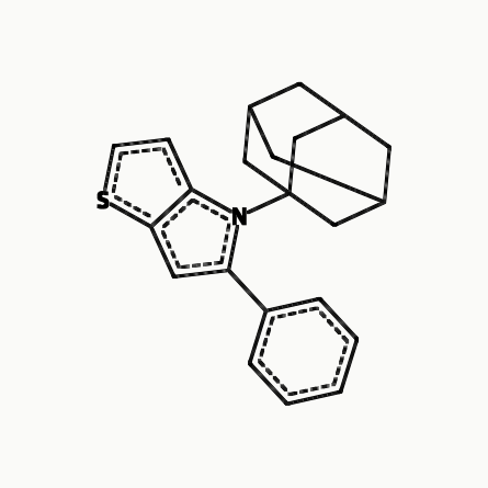 c1ccc(-c2cc3sccc3n2C23CC4CC(CC(C4)C2)C3)cc1